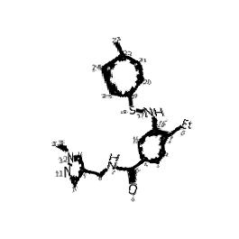 CCc1ccc(C(=O)NCc2cnn(C)c2)cc1NSc1ccc(C)cc1